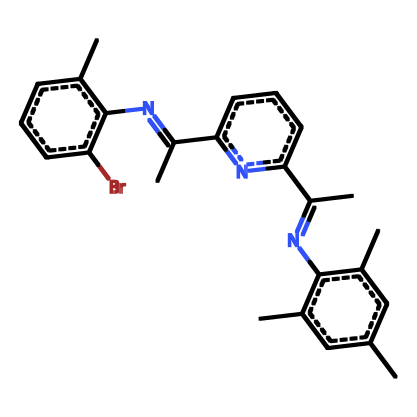 C/C(=N\c1c(C)cc(C)cc1C)c1cccc(/C(C)=N/c2c(C)cccc2Br)n1